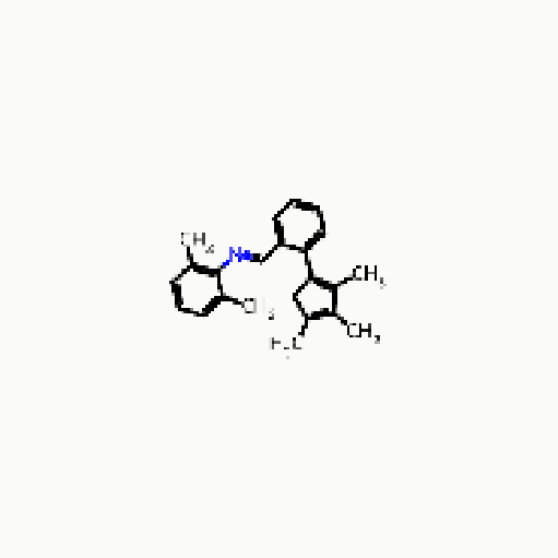 CC1=C(C)C(C)=C(c2ccccc2/C=N/c2c(C)cccc2C)C1